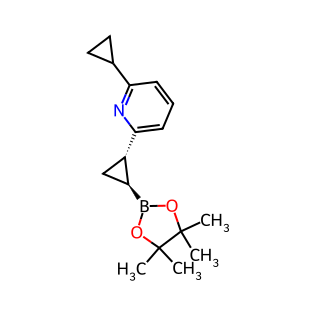 CC1(C)OB([C@H]2C[C@@H]2c2cccc(C3CC3)n2)OC1(C)C